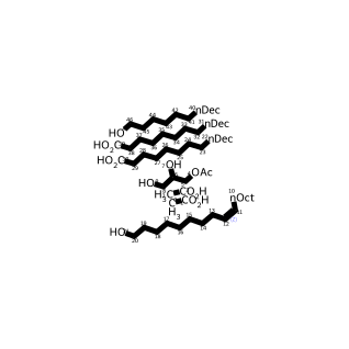 CC(=O)O.CC(=O)O.CC(=O)OCC(O)CO.CCCCCCCC/C=C\CCCCCCCCO.CCCCCCCCCCCCCCCCCC(=O)O.CCCCCCCCCCCCCCCCCC(=O)O.CCCCCCCCCCCCCCCCO